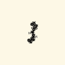 CC(=O)O[C@@H](C(=O)N1CCC[C@H]1C(=O)Nc1ccc(-c2cc(-c3ccc(NC(=O)[C@@H]4CCCN4C(=O)[C@H](OC(C)=O)c4ccccc4)cc3)[nH]n2)cc1)c1ccccc1